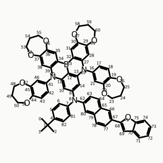 CC(C)(C)c1ccc(N(c2cc3c4c(c2)N(c2ccc5c(c2)OCCCO5)c2cc5c(cc2B4c2cc4c(cc2N3c2ccc3c(c2)OCCCO3)OCCCO4)OCCCO5)c2ccc3cc(-c4cc5ccccc5o4)ccc3c2)cc1